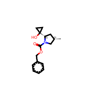 C[C@H]1C[C@@H](C2(O)CC2)N(C(=O)OCc2ccccc2)C1